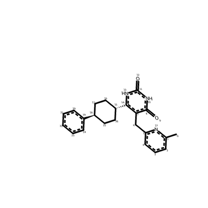 Cc1cccc(Cc2c(=O)[nH]c(=O)[nH]c2[C@H]2CC[C@H](c3ccccc3)CC2)n1